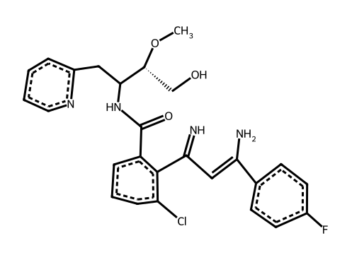 CO[C@H](CO)C(Cc1ccccn1)NC(=O)c1cccc(Cl)c1C(=N)/C=C(\N)c1ccc(F)cc1